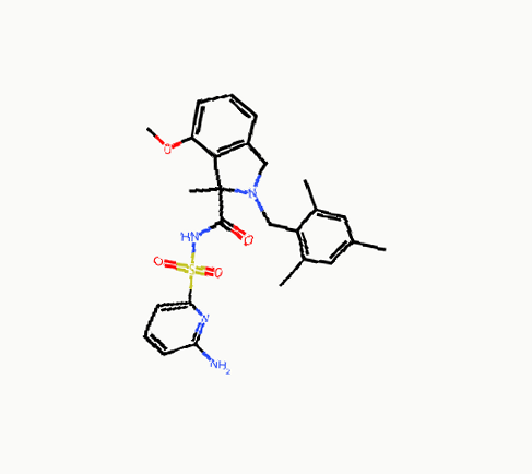 COc1cccc2c1C(C)(C(=O)NS(=O)(=O)c1cccc(N)n1)N(Cc1c(C)cc(C)cc1C)C2